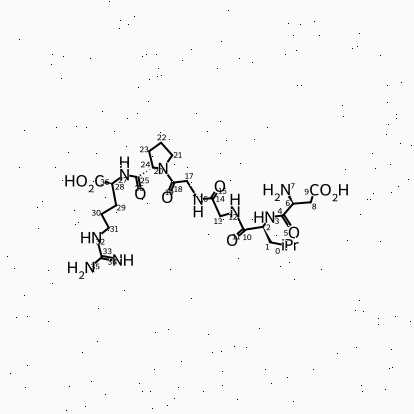 CC(C)C[C@H](NC(=O)[C@@H](N)CC(=O)O)C(=O)NCC(=O)NCC(=O)N1CCC[C@H]1C(=O)N[C@@H](CCCNC(=N)N)C(=O)O